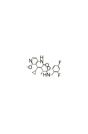 COc1nccc2[nH]c(=O)c([C@H](C)C(=O)N[C@@H](C)c3ccc(F)cc3F)c(C3CC3)c12